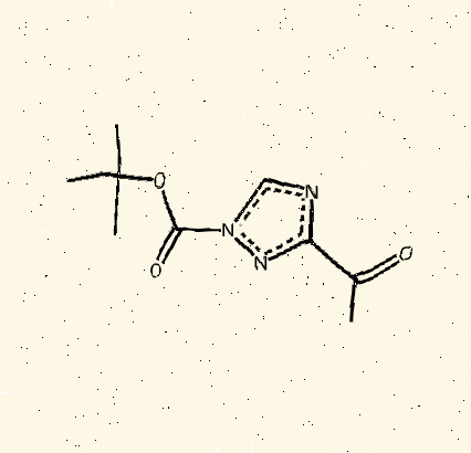 CC(=O)c1ncn(C(=O)OC(C)(C)C)n1